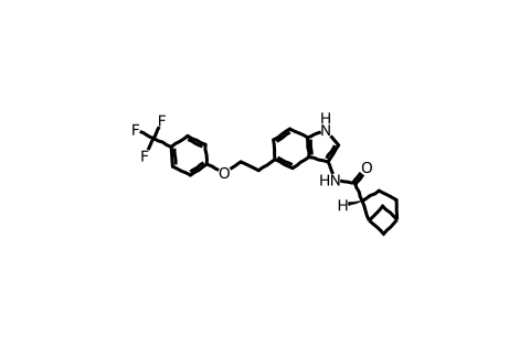 O=C(Nc1c[nH]c2ccc(CCOc3ccc(C(F)(F)F)cc3)cc12)[C@@H]1CCC2CC1C2